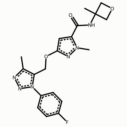 Cc1nnn(-c2ccc(F)cc2)c1COc1cc(C(=O)NC2(C)COC2)n(C)n1